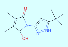 CC1=C(C)C(O)N(c2cc(C(C)(C)C)[nH]n2)C1=O